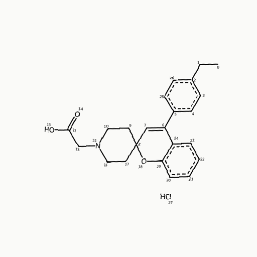 CCc1ccc(C2=CC3(CCN(CC(=O)O)CC3)Oc3ccccc32)cc1.Cl